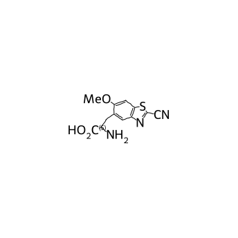 COc1cc2sc(C#N)nc2cc1C[C@H](N)C(=O)O